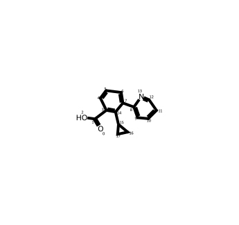 O=C(O)c1cccc(-c2ccccn2)c1C1CC1